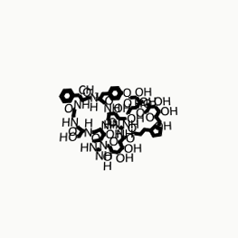 CC(c1ccccc1)C1NC(=O)CNC(=O)C(CO)NC(=O)C(C(O)C2CNC(=N)N2C2OC(COC(=O)CCC3CCCC3)C(O)C(O)C2O)NC(=O)C(C(O)C2CNC(=N)N2)NC(=O)C(Cc2ccc(OC3OC(CO)C(OC4OC(CO)C(O)C(O)C4O)C(O)C3O)cc2)NC1=O